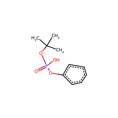 CC(C)(C)OP(=O)(O)Oc1ccccc1